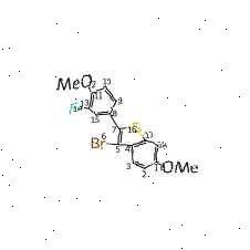 COc1ccc2c(Br)c(-c3ccc(OC)c(F)c3)sc2c1